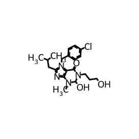 CC(C)Cc1nc2c(n1Cc1ccc(Cl)cc1)C(=O)N(CCCO)C(O)N2C